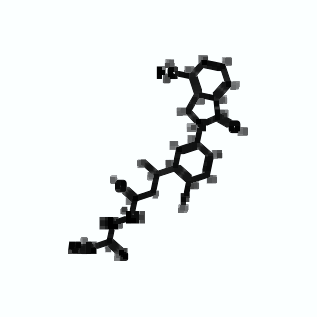 CNC(=S)NNC(=O)CC(C)c1cc(N2Cc3c(cccc3C(F)(F)F)C2=O)ccc1F